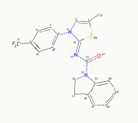 Cc1cn(-c2ccc(C(F)(F)F)cc2)/c(=N/C(=O)N2CCc3ccccc32)s1